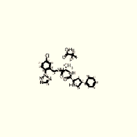 C[C@H](NC(=O)[C@H]1C[C@H](c2ccccc2)CN1)C(=O)NCc1cc(Cl)ccc1-n1ncnn1.O=C(O)C(F)(F)F